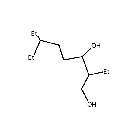 CCC(CC)CCC(O)C(CC)CO